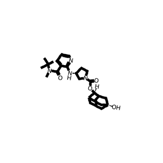 CN(C(=O)c1cccnc1N[C@@H]1CCN(C(=O)O[C@H]2C3CC4CC2C[C@](O)(C4)C3)C1)C(C)(C)C